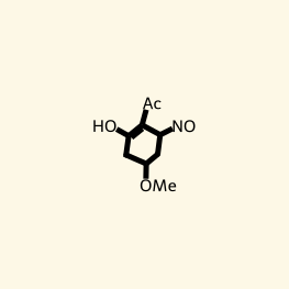 COC1CC(O)=C(C(C)=O)C(N=O)C1